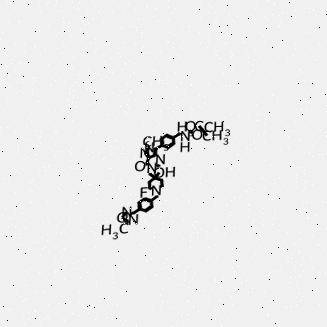 Cc1nc(-c2ccc(CN3CCC(O)(Cn4cnc5c(-c6ccc(CNC(=O)OC(C)(C)C)cc6)n(C)nc5c4=O)CC3)c(F)c2)no1